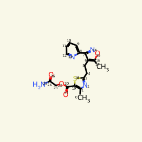 Cc1nc(CCc2c(-c3ccccn3)noc2C)sc1C(=O)OCC(N)=O